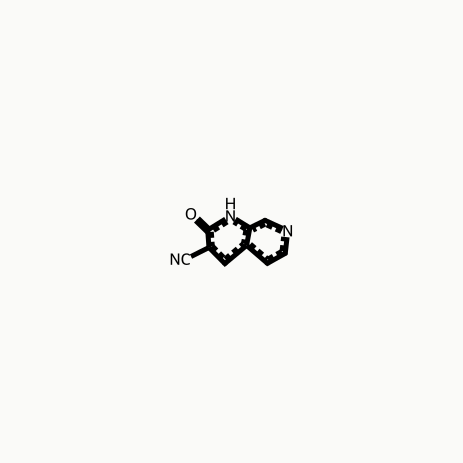 N#Cc1cc2ccncc2[nH]c1=O